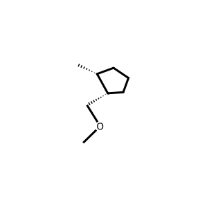 COC[C@H]1CCC[C@H]1C